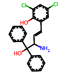 NC(C=Cc1cc(Cl)cc(Cl)c1O)C(O)(c1ccccc1)c1ccccc1